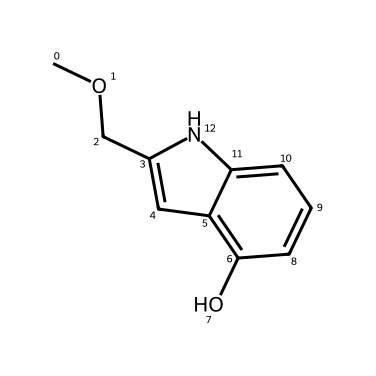 COCc1cc2c(O)cccc2[nH]1